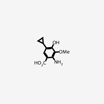 COc1c(N)c(C(=O)O)cc(C2CC2)c1O